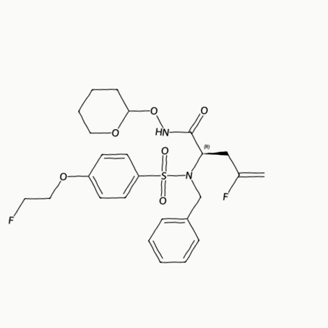 C=C(F)C[C@H](C(=O)NOC1CCCCO1)N(Cc1ccccc1)S(=O)(=O)c1ccc(OCCF)cc1